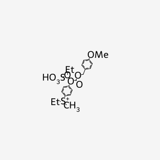 CCOS(=O)(=O)O.CC[S@+](C)c1ccc(OC(=O)OCc2ccc(OC)cc2)cc1